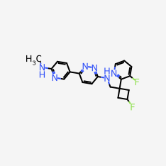 CNc1ccc(-c2ccc(NCC3(c4ncccc4F)CC(F)C3)nn2)cn1